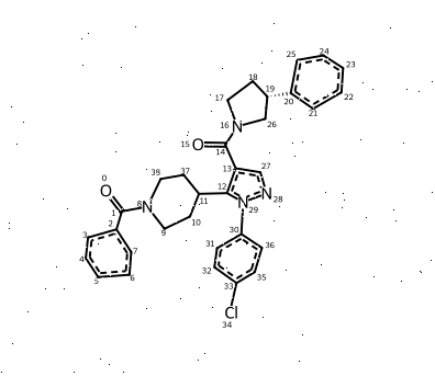 O=C(c1ccccc1)N1CCC(c2c(C(=O)N3CC[C@H](c4ccccc4)C3)cnn2-c2ccc(Cl)cc2)CC1